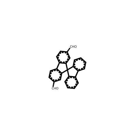 O=Cc1ccc2c(c1)C1(c3ccccc3-c3ccccc31)c1cc(C=O)ccc1-2